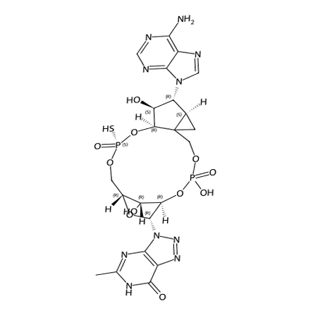 Cc1nc2c(nnn2[C@@H]2O[C@@H]3CO[P@](=O)(S)O[C@H]4[C@@H](O)[C@H](n5cnc6c(N)ncnc65)[C@H]5CC54COP(=O)(O)O[C@@H]2[C@@H]3O)c(=O)[nH]1